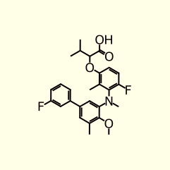 COc1c(C)cc(-c2cccc(F)c2)cc1N(C)c1c(F)ccc(OC(C(=O)O)C(C)C)c1C